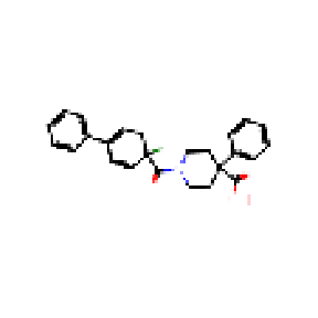 O=C(N1CCC(C(=O)O)(c2ccccc2)CC1)C1(F)C=CC(c2ccccc2)=CC1